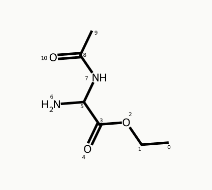 CCOC(=O)C(N)NC(C)=O